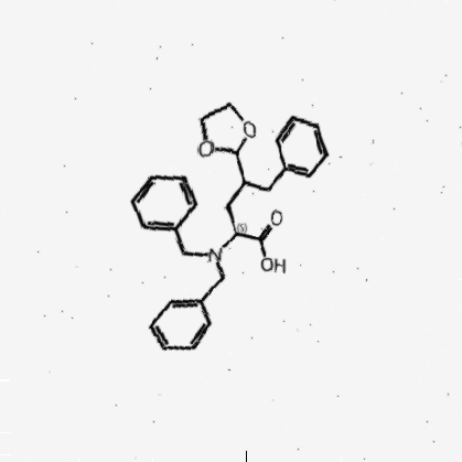 O=C(O)[C@H](CC(Cc1ccccc1)C1OCCO1)N(Cc1ccccc1)Cc1ccccc1